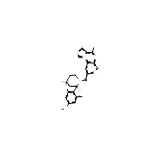 Nc1nc2cnc(C(=O)N3CC[C@H]4C[C@@H]3c3c(F)cc(OC(F)(F)F)cc3O4)cc2n2cncc12